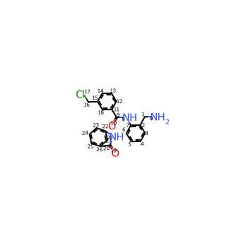 NCc1ccccc1NC(=O)c1cccc(CCl)c1.O=C1Nc2cccc1c2